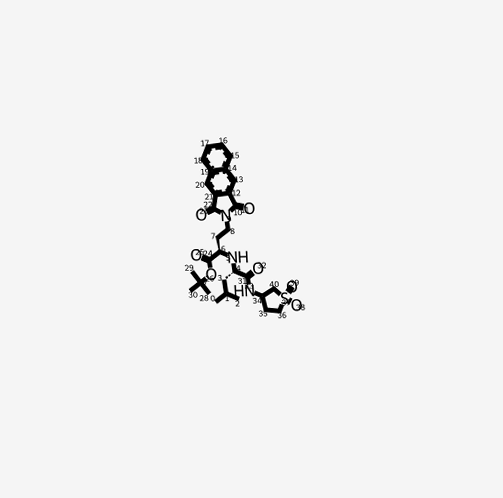 CC(C)C[C@H](N[C@H](CCN1C(=O)c2cc3ccccc3cc2C1=O)C(=O)OC(C)(C)C)C(=O)NC1CCS(=O)(=O)C1